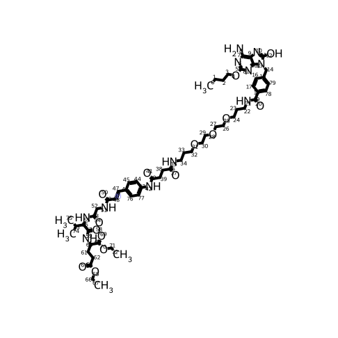 CCCCOc1nc(N)c2nc(O)n(Cc3ccc(C(=O)NCCCOCCOCCOCCCNC(=O)CCC(=O)Nc4ccc(/C=C/C(=O)NCC(=O)NC(C(=O)NC(CCC(=O)OCC)C(=O)OCC)C(C)C)cc4)cc3)c2n1